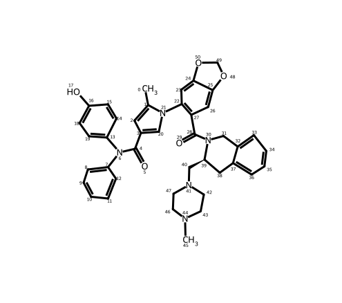 Cc1cc(C(=O)N(c2ccccc2)c2ccc(O)cc2)cn1-c1cc2c(cc1C(=O)N1Cc3ccccc3C[C@H]1CN1CCN(C)CC1)OCO2